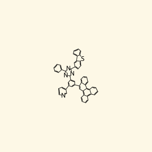 c1ccc(-c2nc(-c3cc(-c4cccnc4)cc(-c4cc5c6ccccc6c6ccccc6c5c5ccccc45)c3)nc(-c3ccc4sc5ccccc5c4c3)n2)cc1